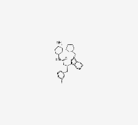 Cc1cccc(CC(CC(=O)N[C@H]2CC[C@H](N)CC2)c2cn(CC3CCCCC3)c3ccccc23)c1